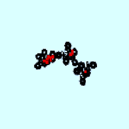 c1ccc2c(c1)nc1n(-c3ccc(-c4ccc5c(c4)n4c6ccccc6nc4n5-c4cccc5c4n(-c4nccc6c4sc4ccccc46)c4nc6ccc(-c7ccc8c(c7)sc7c(-n9c%10c(-n%11c%12ccccc%12c%12ccccc%12%11)cccc%10c%10cccc(-n%11c%12ccccc%12c%12ccccc%12%11)c%109)nccc78)cc6n54)c4c5ccccc5n(-c5nccc6c5sc5ccccc56)c34)c3ccccc3n21